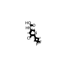 O=C(O)Nc1cnc(C2CC(F)(F)C2)c(Cl)c1